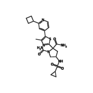 Cc1nc(C2(C(N)=O)CC(NS(=O)(=O)C3CC3)CN2C(N)=O)sc1-c1ccnc(C2CCC2)c1